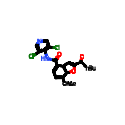 CCCCC(=O)C1=CC2C(C(=O)Nc3c(Cl)cncc3Cl)=CC=C(OC)C2O1